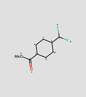 COC(=O)C1CCC(C(F)F)CC1